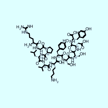 CC(C)C[C@H](NC(=O)[C@@H]1CCCN1C(=O)CNC(=O)[C@@H](N)CCCNC(=N)N)C(=O)N[C@H](C(=O)N[C@@H](CCCCN)C(=O)N[C@@H](Cc1ccc(O)cc1)C(=O)N[C@@H](CO)C(=O)N[C@@H](CO)C(=O)N[C@@H](CC(=O)O)C(=O)N[C@@H](Cc1ccc(O)cc1)C(=O)O)C(C)C